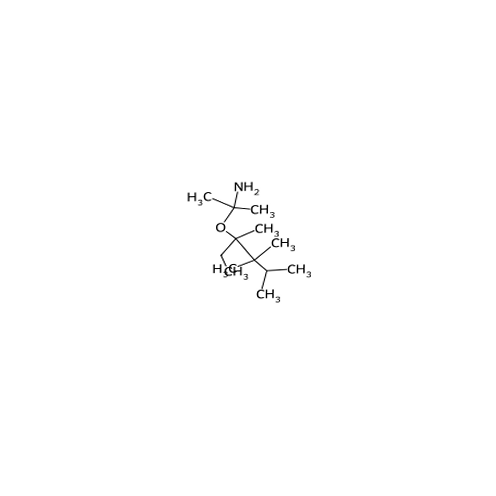 CCC(C)(OC(C)(C)N)C(C)(C)C(C)C